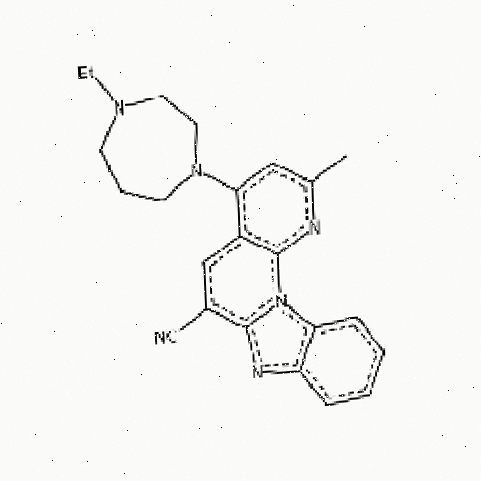 CCN1CCCN(c2cc(C)nc3c2cc(C#N)c2nc4ccccc4n23)CC1